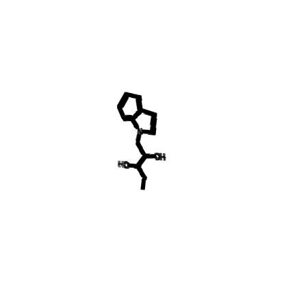 CCC(O)C(O)Cn1ccc2ccccc21